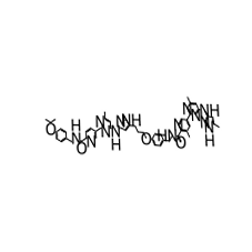 Cc1cc(Nc2cc(C)[nH]n2)nc(-c2cnc(C(=O)NCc3ccc(OCCCc4cc(Nc5cc(C)nc(-c6ccc(C(=O)NCc7ccc(OC(C)C)cc7)nc6)n5)n[nH]4)cc3)c(C)c2)n1